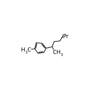 C[C](CCC(C)C)c1ccc(C)cc1